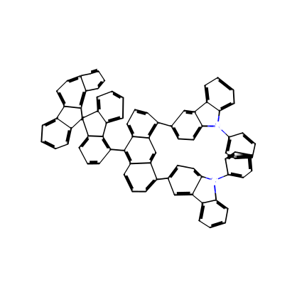 c1ccc(-n2c3ccccc3c3cc(-c4cccc5c(-c6cccc7c6-c6ccccc6C76c7ccccc7-c7ccc8ccccc8c76)c6cccc(-c7ccc8c(c7)c7ccccc7n8-c7ccccc7)c6cc45)ccc32)cc1